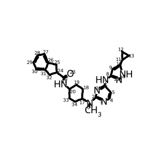 CN(c1nccc(Nc2cc(C3CC3)[nH]n2)n1)C1CCC(NC(=O)C2Cc3ccccc3C2)CC1